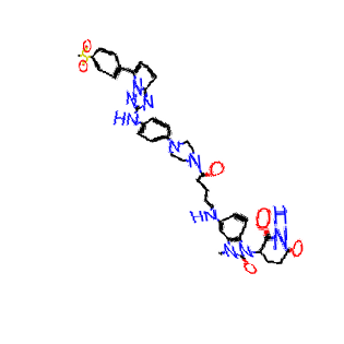 Cn1c(=O)n(C2CCC(=O)NC2=O)c2ccc(NCCCCC(=O)N3CCN(c4ccc(Nc5nc6cccc(-c7ccc(S(C)(=O)=O)cc7)n6n5)cc4)CC3)cc21